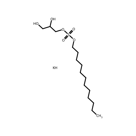 CCCCCCCCCCCCOS(=O)(=O)OCC(O)CO.[KH]